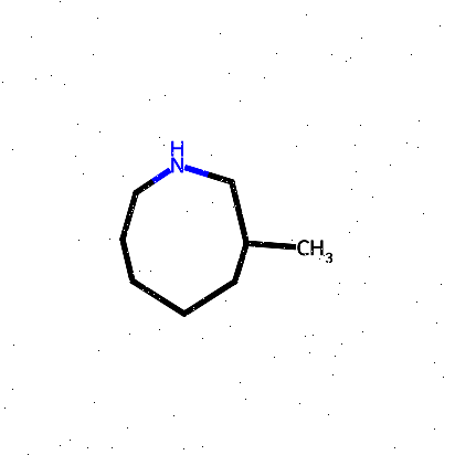 CC1CCCCCNC1